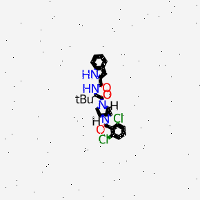 CC(C)(C)[C@H](NC(=O)c1cc2ccccc2[nH]1)C(=O)N1C[C@@H]2C[C@H]1CN2C(=O)c1c(Cl)cccc1Cl